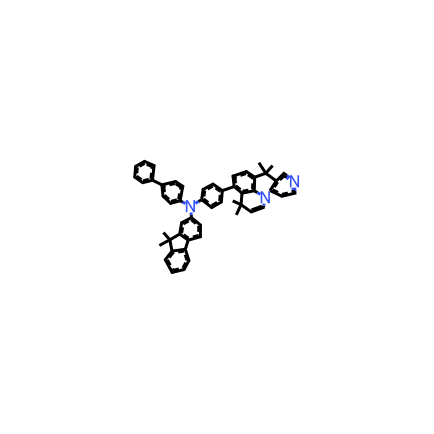 CC1(C)C=CN2c3ccncc3C(C)(C)c3ccc(-c4ccc(N(c5ccc(-c6ccccc6)cc5)c5ccc6c(c5)C(C)(C)c5ccccc5-6)cc4)c1c32